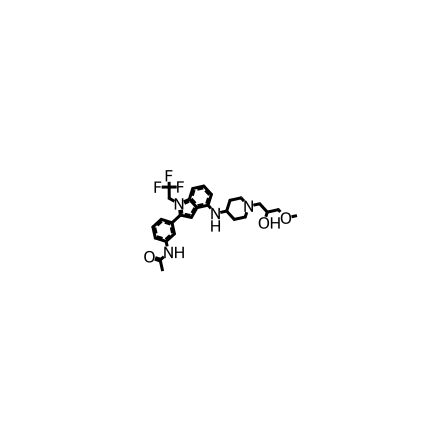 COCC(O)CN1CCC(Nc2cccc3c2cc(-c2cccc(NC(C)=O)c2)n3CC(F)(F)F)CC1